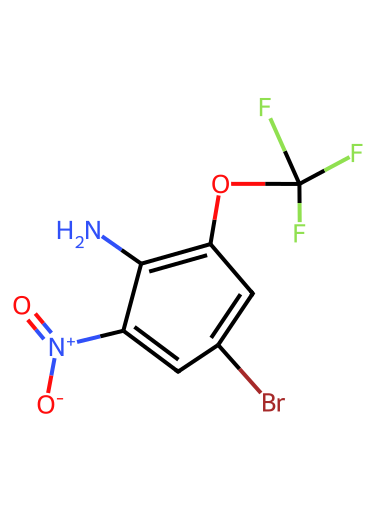 Nc1c(OC(F)(F)F)cc(Br)cc1[N+](=O)[O-]